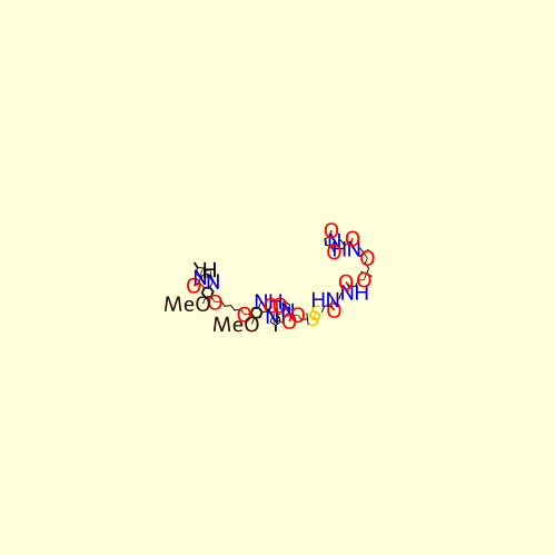 C=C1C[C@H]2C=Nc3cc(OCCCCCOc4cc(N)c(C(=O)N5CC(=C)C[C@H]5C5OCCN5C(=O)OCC(C)(C)SSCCC(=O)NCCNC(=O)CCOC(C)(C)CCOC(C)(C)CNC(=O)CCN5C(=O)C=CC5=O)cc4OC)c(OC)cc3C(=O)N2C1